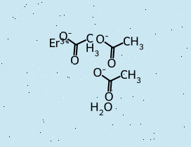 CC(=O)[O-].CC(=O)[O-].CC(=O)[O-].O.[Er+3]